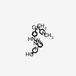 CN1CCC(N(C)C(=O)c2ccc(Nc3nc4c(N5CCC(O)CC5)cccn4n3)cc2)CC1